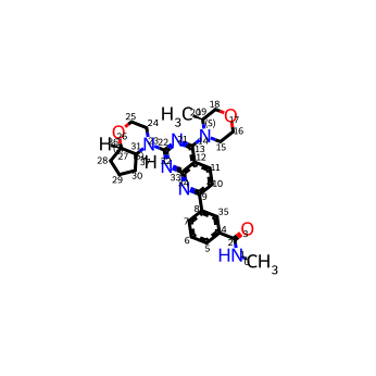 CNC(=O)c1cccc(-c2ccc3c(N4CCOC[C@@H]4C)nc(N4CCO[C@H]5CCC[C@@H]54)nc3n2)c1